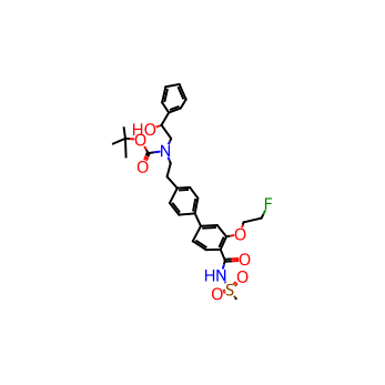 CC(C)(C)OC(=O)N(CCc1ccc(-c2ccc(C(=O)NS(C)(=O)=O)c(OCCF)c2)cc1)C[C@@H](O)c1ccccc1